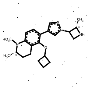 C[C@@H]1NCC1n1cc(-c2ccc3c(c2OC2CCC2)CC[C@H](C)N3C(=O)O)cn1